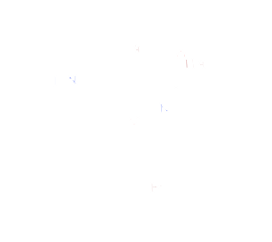 Br.Nc1ccc(Oc2ccccc2)cc1.Oc1c(Br)cc[n+]2ccccc12.[Br-]